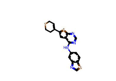 C1=C(c2cc3c(Nc4ccc5scnc5c4)ncnc3s2)CCSC1